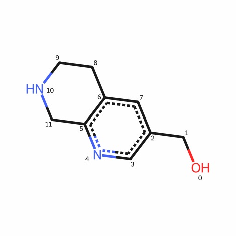 OCc1cnc2c(c1)CCNC2